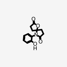 O=C1CCC2(CCC(=O)N2c2ccccc2O)O1